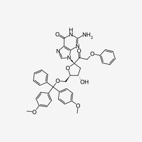 COc1ccc(C(OC[C@H]2O[C@@](C(=O)COc3ccccc3)(n3cnc4c(=O)[nH]c(N)nc43)C[C@@H]2O)(c2ccccc2)c2ccc(OC)cc2)cc1